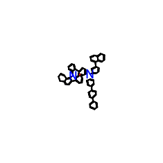 C1=Cc2c(ccc3c4ccccc4n(-c4ccccc4-c4ccc(N(c5ccc(-c6ccc(-c7ccccc7)cc6)cc5)c5cccc(-c6cccc7ccccc67)c5)cc4)c23)CC1